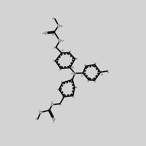 COC(=O)OCc1ccc(N(c2ccc(C)cc2)c2ccc(COC(=O)OC)cc2)cc1